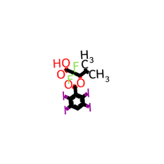 CC(C)C(OC(=O)c1c(I)c(I)cc(I)c1I)C(F)(F)C(=O)O